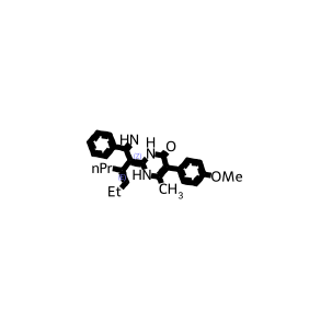 CC/C=C(CCC)/C(C(=N)c1ccccc1)=C1/NC(=O)C(c2ccc(OC)cc2)=C(C)N1